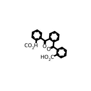 O=C(O)c1ccccc1C(=O)c1ccccc1C(=O)c1ccccc1C(=O)O